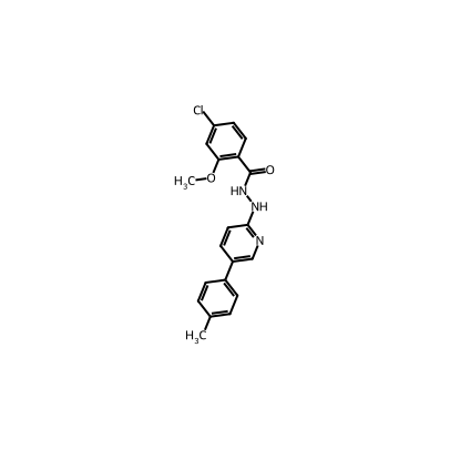 COc1cc(Cl)ccc1C(=O)NNc1ccc(-c2ccc(C)cc2)cn1